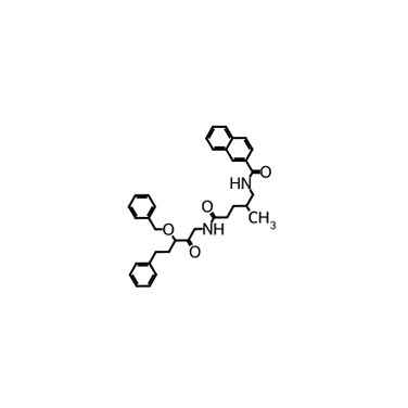 CC(CCC(=O)NCC(=O)C(CCc1ccccc1)OCc1ccccc1)CNC(=O)c1ccc2ccccc2c1